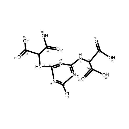 O=C(O)C(Nc1nc(Cl)nc(NC(C(=O)O)C(=O)O)n1)C(=O)O